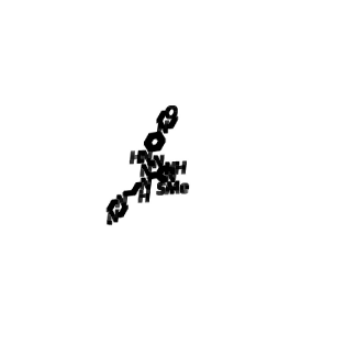 CSc1n[nH]c2nc(Nc3ccc(N4CCOCC4)cc3)nc(NCCCN3CCN(C)CC3)c12